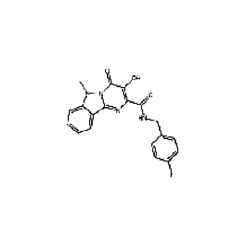 Cn1c2ccccc2c2nc(C(=O)NCc3ccc(F)cc3)c(O)c(=O)n21